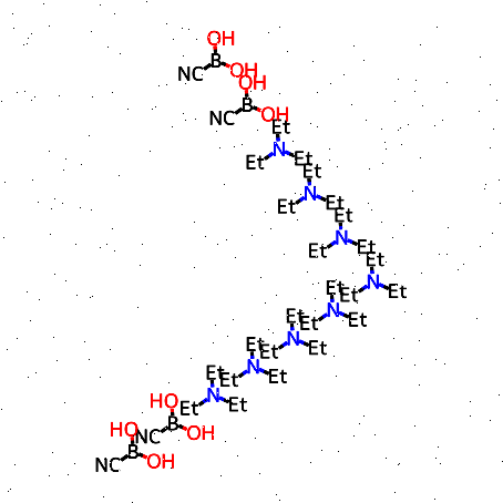 CCN(CC)CC.CCN(CC)CC.CCN(CC)CC.CCN(CC)CC.CCN(CC)CC.CCN(CC)CC.CCN(CC)CC.CCN(CC)CC.N#CB(O)O.N#CB(O)O.N#CB(O)O.N#CB(O)O